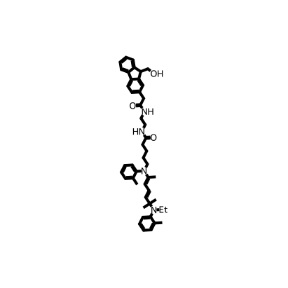 CCN(c1ccccc1C)C(C)(C)/C=C/C=C(\C)N(CCCCC(=O)NCCNC(=O)Cc1ccc2c(c1)C(CO)c1ccccc1-2)c1ccccc1C